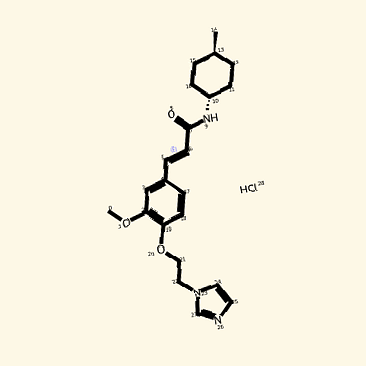 COc1cc(/C=C/C(=O)N[C@H]2CC[C@H](C)CC2)ccc1OCCn1ccnc1.Cl